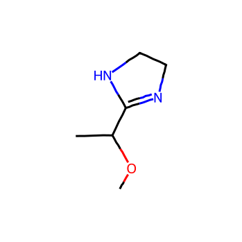 COC(C)C1=NCCN1